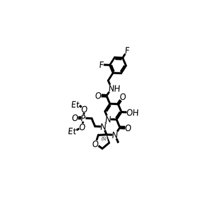 CCOP(=O)(CCN1n2cc(C(=O)NCc3ccc(F)cc3F)c(=O)c(O)c2C(=O)N(C)[C@@]12CCOC2)OCC